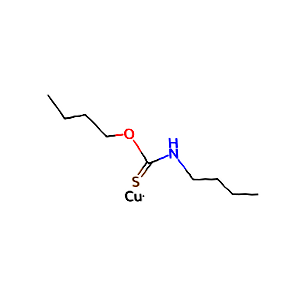 CCCCNC(=S)OCCCC.[Cu]